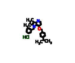 Cc1c(C)n(Cc2ccccc2)c2c(OCc3ccc(C(C)C)cc3)ccnc12.Cl